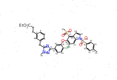 CCOC(=O)CCc1cccc(Cc2nc(-c3cccc(Oc4c(F)cc5c(ccn5S(=O)(=O)c5ccc(C)cc5)c4S(C)(=O)=O)c3)nn2C)c1